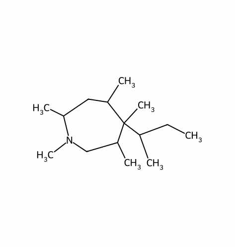 CCC(C)C1(C)C(C)CC(C)N(C)CC1C